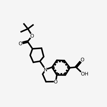 CC(C)(C)OC(=O)C1CCC(N2CCOc3cc(C(=O)O)ccc32)CC1